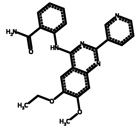 CCOc1cc2c(Nc3ccccc3C(N)=O)nc(-c3cccnc3)nc2cc1OC